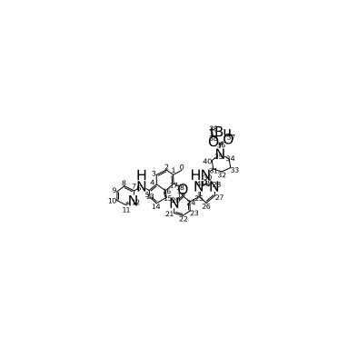 Cc1ccc2c(Nc3ccccn3)cccc2c1Oc1ncccc1-c1ccnc(NC2CCCN(C(=O)OC(C)(C)C)C2)n1